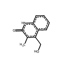 Cc1c(CO)c2ccccc2[nH]c1=O